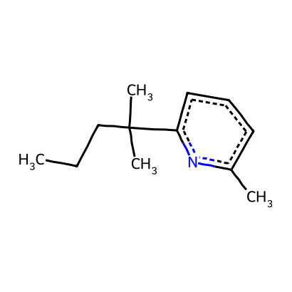 CCCC(C)(C)c1cccc(C)n1